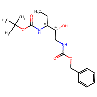 CC[C@@H](NC(=O)OC(C)(C)C)[C@H](O)CNC(=O)OCc1ccccc1